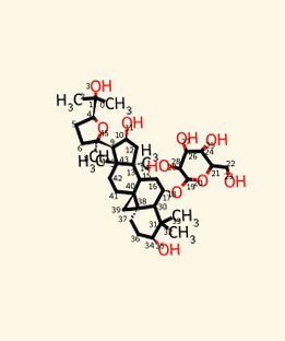 CC(C)(O)[C@@H]1CC[C@](C)([C@H]2[C@@H](O)C[C@@]3(C)C4C[C@H](OC5OC(CO)C(O)C(O)C5O)C5C(C)(C)[C@@H](O)CC[C@@]56C[C@@]46CC[C@]23C)O1